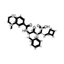 CN1CCOc2ccc(C(=O)N[C@@H](Cc3ccccc3)C(=O)N[C@@H](CC3CCC3)S(=O)O)cc21